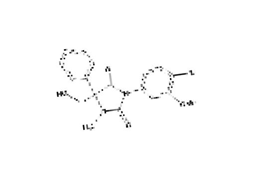 COc1cc(N2C(=O)N(C)C(CO)(c3ccccc3)C2=O)ccc1C#N